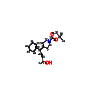 CC(O)C#CC(=C1CCN(C(=O)OC(C)(C)C)CC1)c1ccccc1